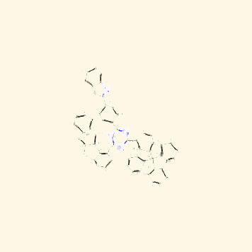 c1ccc(C2(c3cccc(-c4nc(-c5ccc(-c6nc7ccccc7s6)cc5)nc(-c5cccc6sc7cc8ccccc8cc7c56)n4)c3)c3ccccc3-c3ccccc32)cc1